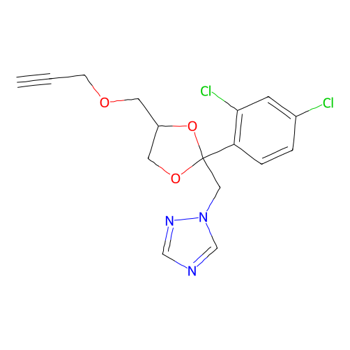 C#CCOCC1COC(Cn2cncn2)(c2ccc(Cl)cc2Cl)O1